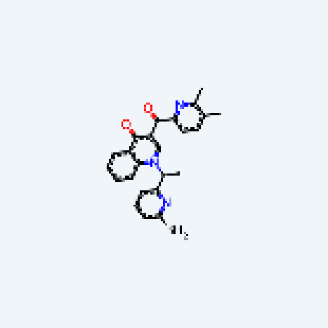 Bc1cccc([C@H](C)n2cc(C(=O)c3ccc(C)c(C)n3)c(=O)c3ccccc32)n1